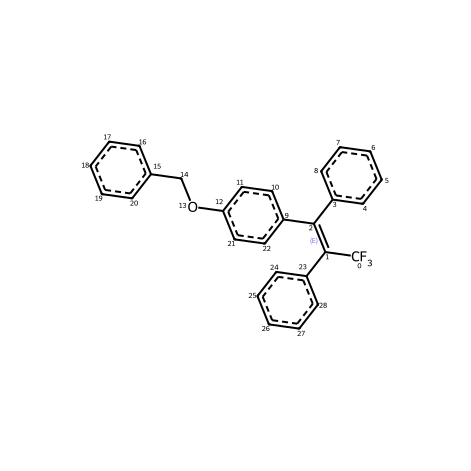 FC(F)(F)/C(=C(\c1ccccc1)c1ccc(OCc2ccccc2)cc1)c1ccccc1